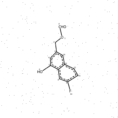 O=COCc1cc(O)c2cc(F)ccc2c1